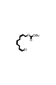 CC/C=C\C/C=C\C/C=C\COC(=O)OCC(C)C